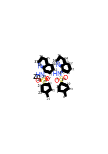 Cc1ccc(S(=O)(=O)Nc2cccc3cccnc23)cc1.Cc1ccc(S(=O)(=O)Nc2cccc3cccnc23)cc1.[Zn]